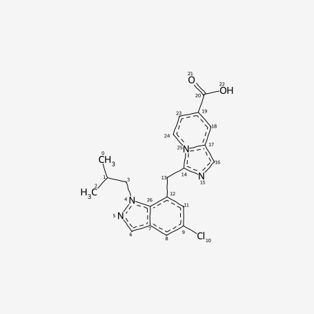 CC(C)Cn1ncc2cc(Cl)cc(Cc3ncc4cc(C(=O)O)ccn34)c21